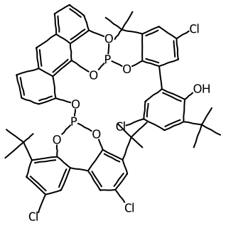 CC(C)(C)c1cc(Cl)cc(-c2cc(Cl)cc(C(C)(C)C)c2OP2Oc3cccc4cc5cccc(Op6oc7c(C(C)(C)C)cc(Cl)cc7c7cc(Cl)cc(C(C)(C)C)c7o6)c5c(c34)O2)c1O